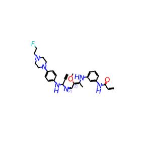 C#CC(/N=C\C(OC)=C(/C)Nc1cccc(NC(=O)C=C)c1)Nc1ccc(N2CCN(CCF)CC2)cc1